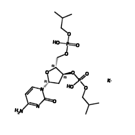 CC(C)COP(=O)(O)OC[C@H]1O[C@@H](n2ccc(N)nc2=O)C[C@@H]1OP(=O)(O)OCC(C)C.[K]